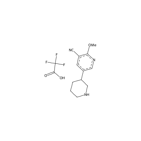 COc1ncc(C2CCCNC2)cc1C#N.O=C(O)C(F)(F)F